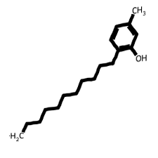 [CH2]CCCCCCCCCCc1ccc(C)cc1O